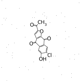 CC(=O)c1cc2c(o1)C(=O)c1cc(Cl)c(O)cc1C2=O